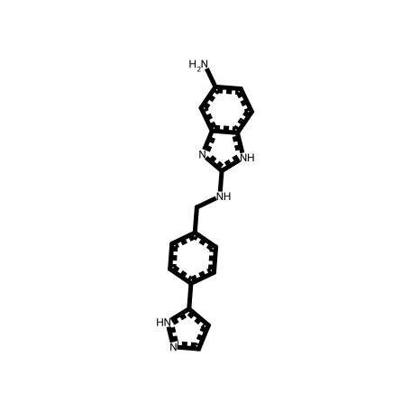 Nc1ccc2[nH]c(NCc3ccc(-c4ccn[nH]4)cc3)nc2c1